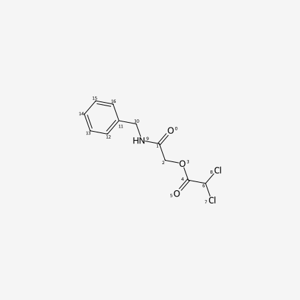 O=C(COC(=O)C(Cl)Cl)NCc1ccccc1